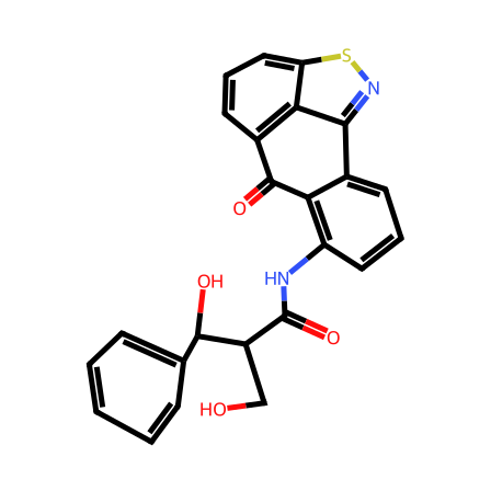 O=C1c2c(NC(=O)C(CO)C(O)c3ccccc3)cccc2-c2nsc3cccc1c23